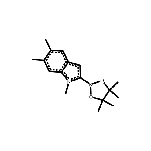 Cc1cc2cc(B3OC(C)(C)C(C)(C)O3)n(C)c2cc1C